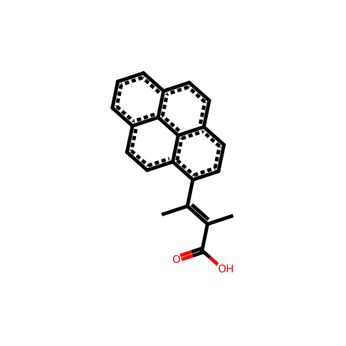 C/C(C(=O)O)=C(/C)c1ccc2ccc3cccc4ccc1c2c34